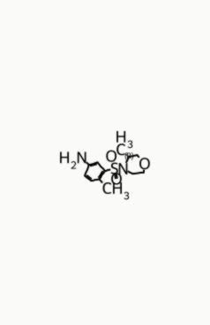 Cc1ccc(N)cc1S(=O)(=O)N1CCOC[C@H]1C